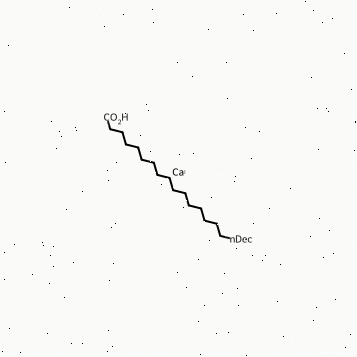 CCCCCCCCCCCCCCCCCCCCCCCCCC(=O)O.[Ca]